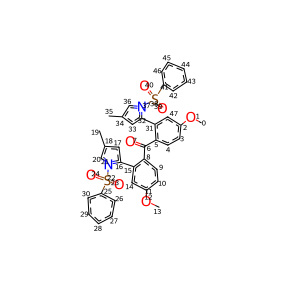 COc1ccc(C(=O)c2ccc(OC)cc2-c2cc(C)cn2S(=O)(=O)c2ccccc2)c(-c2cc(C)cn2S(=O)(=O)c2ccccc2)c1